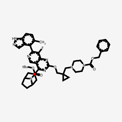 Cc1ccc2[nH]ncc2c1-c1ncc2c(N3CC4CCC(C3)N4C(=O)OC(C)(C)C)nc(OCC3(CN4CCN(C(=O)OCc5ccccc5)CC4)CC3)nc2c1F